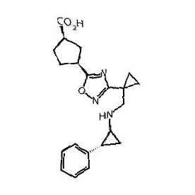 O=C(O)[C@@H]1CC[C@H](c2nc(C3(CNC4C[C@@H]4c4ccccc4)CC3)no2)C1